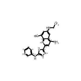 CC(C)(C)c1cc(NCC(F)(F)F)cc2c(N)cc(-c3nnc(Nc4cccnc4)o3)nc12